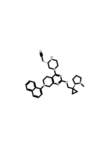 CN1CCC[C@@H]1C1(COc2nc3c(c(N4CCN[C@@H](CC#N)C4)n2)CCN(c2cccc4ccccc24)C3)CC1